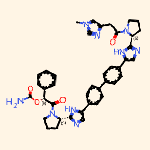 Cn1cnc(CC(=O)N2CCC[C@H]2c2ncc(-c3ccc(-c4ccc(-c5cnc([C@@H]6CCCN6C(=O)[C@H](OC(N)=O)c6ccccc6)[nH]5)cc4)cc3)[nH]2)c1